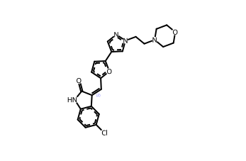 O=C1Nc2ccc(Cl)cc2/C1=C/c1ccc(-c2cnn(CCN3CCOCC3)c2)o1